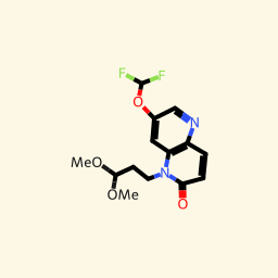 COC(CCn1c(=O)ccc2ncc(OC(F)F)cc21)OC